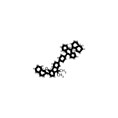 CC1(C)c2cc(-c3ccc(-c4c5ccccc5c(-c5cccc6ccccc56)c5ccccc45)cc3)ccc2-c2c1ccc1c2oc2c3ccccc3ccc12